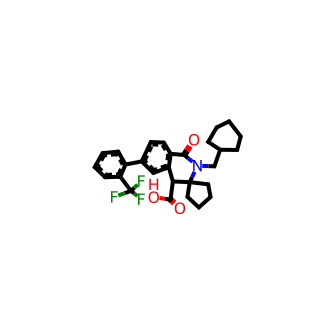 O=C(O)C1c2cc(-c3ccccc3C(F)(F)F)ccc2C(=O)N(CC2CCCCC2)C12CCCC2